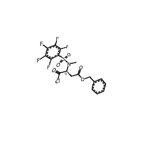 CN([C@@H](CC(=O)OCc1ccccc1)C(=O)Cl)S(=O)(=O)c1c(F)c(F)c(F)c(F)c1F